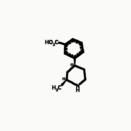 C[C@H]1C[C@@H](c2cccc(C(=O)O)c2)CCN1